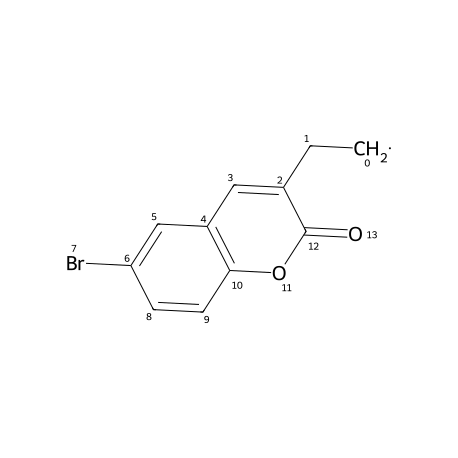 [CH2]Cc1cc2cc(Br)ccc2oc1=O